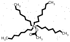 CCCCCCCC[As](CCCCCCCC)(CCCCCCCC)(CCCCCCCC)OC(C)=O